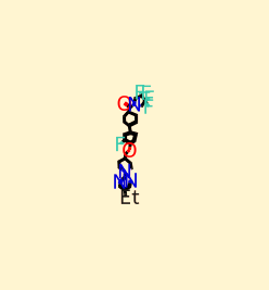 CCc1cnc(N2CCC(COc3ccc(C4=CCC(C(=O)N5CC(F)(F)C(F)(F)C5)CC4)cc3F)CC2)nc1